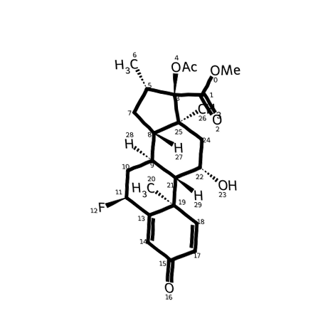 COC(=O)[C@@]1(OC(C)=O)[C@@H](C)C[C@H]2[C@@H]3C[C@H](F)C4=CC(=O)C=C[C@]4(C)[C@H]3[C@@H](O)C[C@@]21C